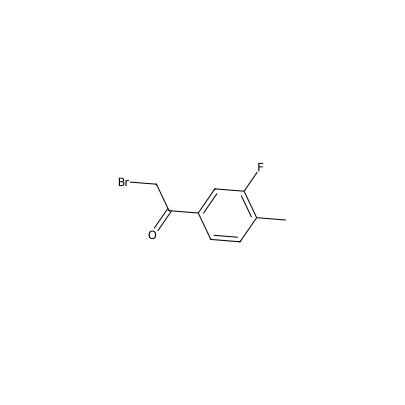 Cc1ccc(C(=O)CBr)cc1F